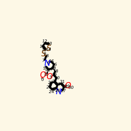 COC(=O)[C@H]1CN(CCSc2cccs2)CC[C@H]1CCCc1cccc2ncc(OC)cc12